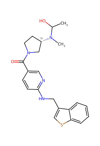 CC(O)N(C)[C@H]1CCN(C(=O)c2ccc(NCc3csc4ccccc34)nc2)C1